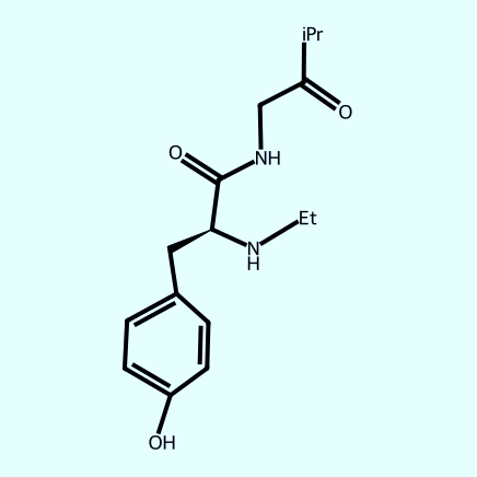 CCN[C@@H](Cc1ccc(O)cc1)C(=O)NCC(=O)C(C)C